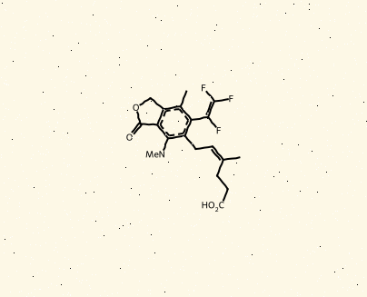 CNc1c(CC=C(C)CCC(=O)O)c(C(F)=C(F)F)c(C)c2c1C(=O)OC2